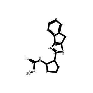 CC(C)(C)OC(=O)NC1CCCC1c1nc2c(s1)Cc1ccccc1-2